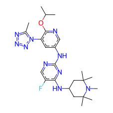 Cc1nnnn1-c1cc(Nc2ncc(F)c(NC3CC(C)(C)N(C)C(C)(C)C3)n2)cnc1OC(C)C